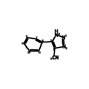 N#Cc1nn[nH]c1-c1ccccc1